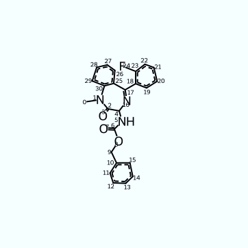 CN1C(=O)C(NC(=O)OCc2ccccc2)N=C(c2ccccc2F)c2ccccc21